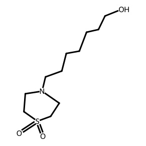 O=S1(=O)CCN(CCCCCCCO)CC1